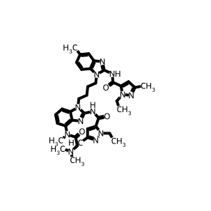 CCn1nc(C)cc1C(=O)Nc1nc2cc(C)ccc2n1CCCCn1c(NC(=O)c2cc(C)nn2CC)nc2c(N(C)C(=O)CN(C)C)cccc21